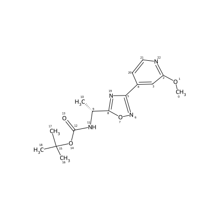 COc1cc(-c2noc([C@@H](C)NC(=O)OC(C)(C)C)n2)ccn1